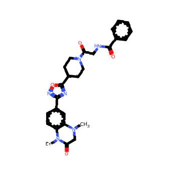 CCN1C(=O)CN(C)c2cc(-c3noc(C4CCN(C(=O)CNC(=O)c5ccccc5)CC4)n3)ccc21